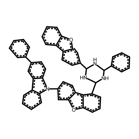 c1ccc(-c2ccc3c(c2)c2ccccc2n3-c2ccc3c(c2)oc2cccc(C4NC(c5ccccc5)NC(c5ccc6c(c5)oc5ccccc56)N4)c23)cc1